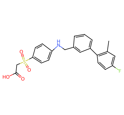 Cc1cc(F)ccc1-c1cccc(CNc2ccc(S(=O)(=O)CC(=O)O)cc2)c1